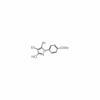 CCc1c(O)nn(-c2ccc(OC)cc2)c1C(C)C